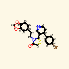 O=C1CSC(c2cnccc2-c2ccc(Br)cc2)N1CCc1ccc2c(c1)OCO2